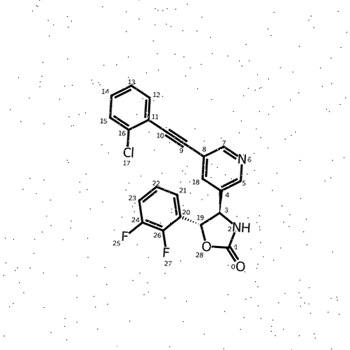 O=C1N[C@H](c2cncc(C#Cc3ccccc3Cl)c2)[C@@H](c2cccc(F)c2F)O1